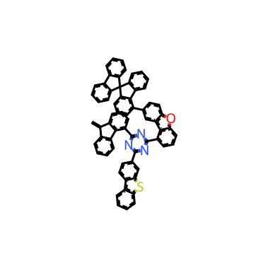 C=C1c2ccccc2-c2c1cccc2-c1nc(-c2ccc3c(c2)sc2ccccc23)nc(-c2cccc3oc4ccc(-c5cccc6c5-c5ccccc5C65c6ccccc6-c6ccccc65)cc4c23)n1